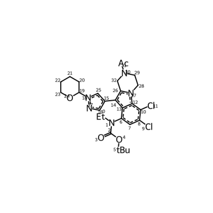 CCN(C(=O)OC(C)(C)C)c1cc(Cl)c(Cl)c2c1c(-c1cnn(C3CCCCO3)c1)c1n2CCN(C(C)=O)C1